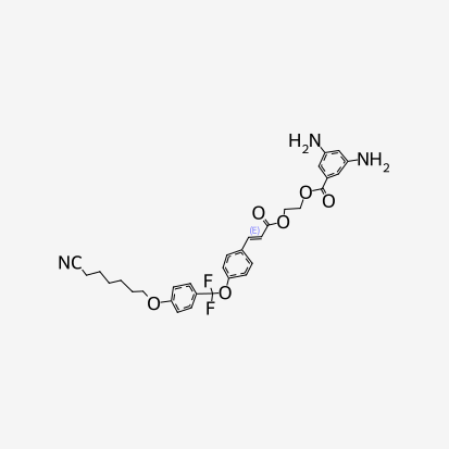 N#CCCCCCCOc1ccc(C(F)(F)Oc2ccc(/C=C/C(=O)OCCOC(=O)c3cc(N)cc(N)c3)cc2)cc1